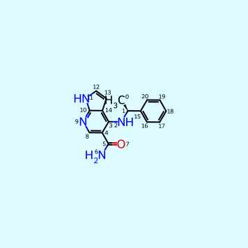 C[C@H](Nc1c(C(N)=O)cnc2[nH]ccc12)c1ccccc1